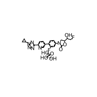 O=C1OC(C(O)CF)CN1c1ccc(-c2ccc(-c3nnn(C4CC4)n3)nc2)c(F)c1.O=P(O)(O)O